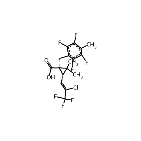 Cc1c(F)c(F)c(C[C@@]2(C(=O)O)[C@H](/C=C(\Cl)C(F)(F)F)C2(C)C)c(F)c1F